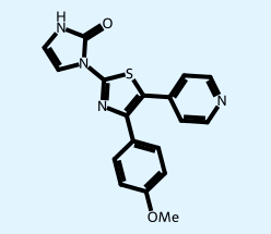 COc1ccc(-c2nc(-n3cc[nH]c3=O)sc2-c2ccncc2)cc1